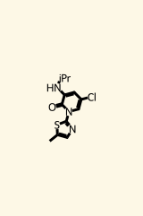 Cc1cnc(-n2cc(Cl)cc(NC(C)C)c2=O)s1